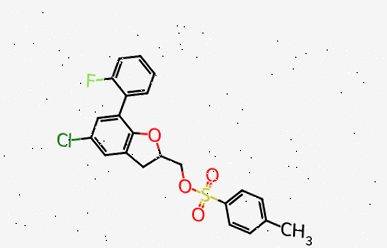 Cc1ccc(S(=O)(=O)OCC2Cc3cc(Cl)cc(-c4ccccc4F)c3O2)cc1